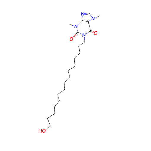 Cn1cnc2c1c(=O)n(CCCCCCCCCCCCCCCO)c(=O)n2C